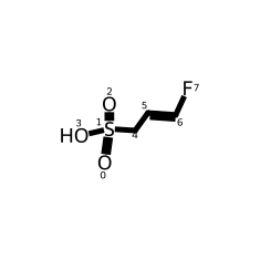 O=S(=O)(O)CC=CF